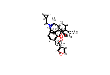 COc1ccc2c3c1O[C@H]1C4(OC)CC[C@@]5(C[C@]4(C)COCc4ccoc4)[C@@H](C2)N(CC2CC2)CC[C@]315